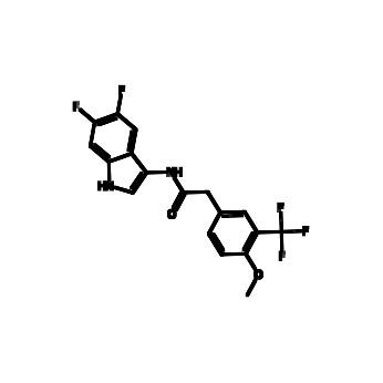 COc1ccc(CC(=O)Nc2c[nH]c3cc(F)c(F)cc23)cc1C(F)(F)F